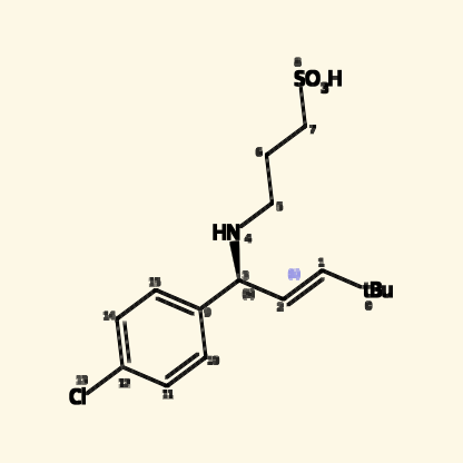 CC(C)(C)/C=C/[C@H](NCCCS(=O)(=O)O)c1ccc(Cl)cc1